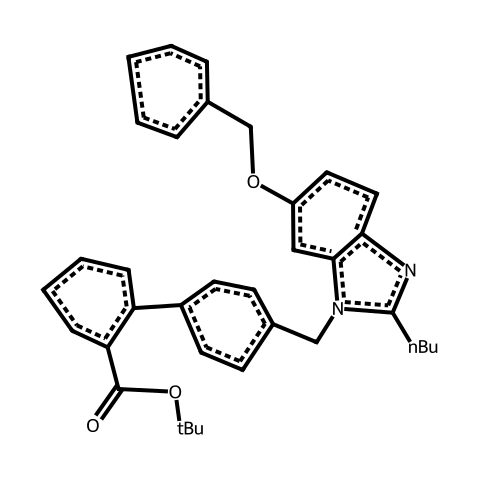 CCCCc1nc2ccc(OCc3ccccc3)cc2n1Cc1ccc(-c2ccccc2C(=O)OC(C)(C)C)cc1